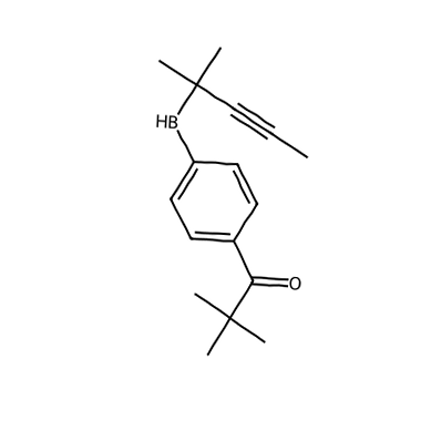 CC#CC(C)(C)Bc1ccc(C(=O)C(C)(C)C)cc1